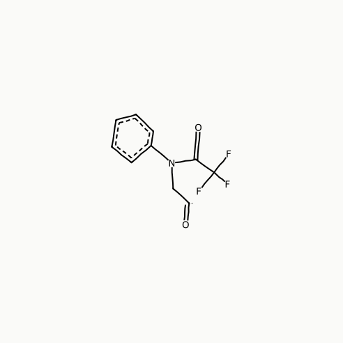 O=[C]CN(C(=O)C(F)(F)F)c1ccccc1